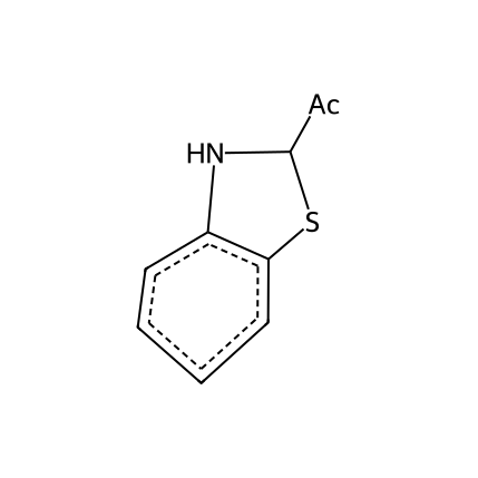 CC(=O)C1Nc2ccccc2S1